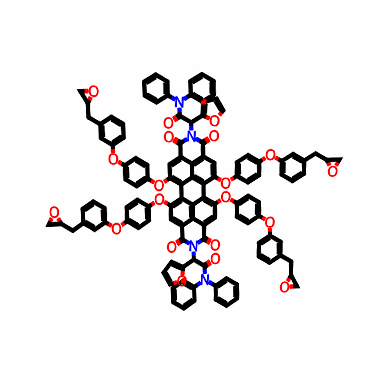 O=C(C(c1ccco1)N1C(=O)c2cc(Oc3ccc(Oc4cccc(CC5CO5)c4)cc3)c3c4c(Oc5ccc(Oc6cccc(CC7CO7)c6)cc5)cc5c6c(cc(Oc7ccc(Oc8cccc(CC9CO9)c8)cc7)c(c7c(Oc8ccc(Oc9cccc(CC%10CO%10)c9)cc8)cc(c2c37)C1=O)c64)C(=O)N(C(C(=O)N(c1ccccc1)c1ccccc1)c1ccco1)C5=O)N(c1ccccc1)c1ccccc1